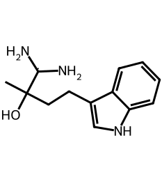 CC(O)(CCc1c[nH]c2ccccc12)[C](N)N